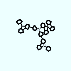 c1ccc(C2c3ccccc3-c3cc(-c4ccc(N(c5ccc(-c6ccc7c(c6)c6ccccc6n7-c6ccccc6)cc5)c5cccc6c5-c5ccccc5C65c6ccccc6-c6ccccc65)cc4)ccc32)cc1